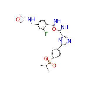 CC(C)S(=O)(=O)c1ccc(-c2cncc(C(=N)OC(=N)c3ccc(CNC4COC4)cc3F)n2)cc1